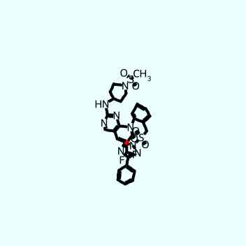 CS(=O)(=O)N1CCC(Nc2ncc3cc(C(F)F)c(=O)n(-c4ccccc4CS(=O)(=O)n4cnc(-c5ccccc5)n4)c3n2)CC1